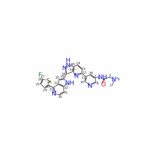 CN(C)CC(=O)Nc1cncc(-c2ccc3[nH]nc(-c4cc5c(-c6ccc(F)s6)nccc5[nH]4)c3n2)c1